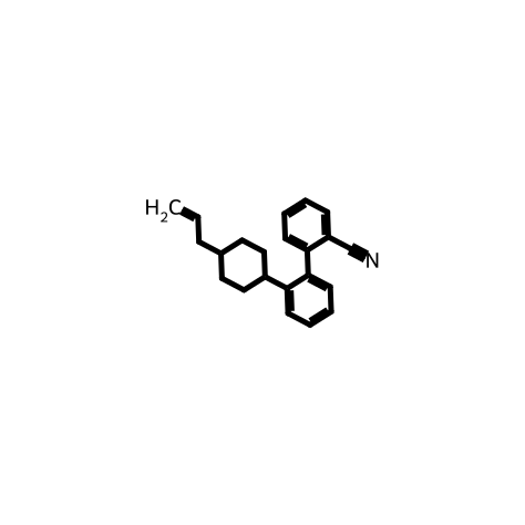 C=CCC1CCC(c2ccccc2-c2ccccc2C#N)CC1